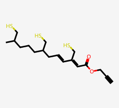 C#CCOC(=O)C=C(C=CCC(CS)CCCC(C)CS)CS